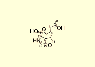 CB(O)CCCC12CCOC1CNC2C(=O)O